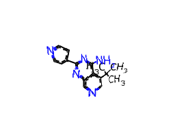 CC(C)(C)c1cncc2nc(-c3ccncc3)nc(N)c12